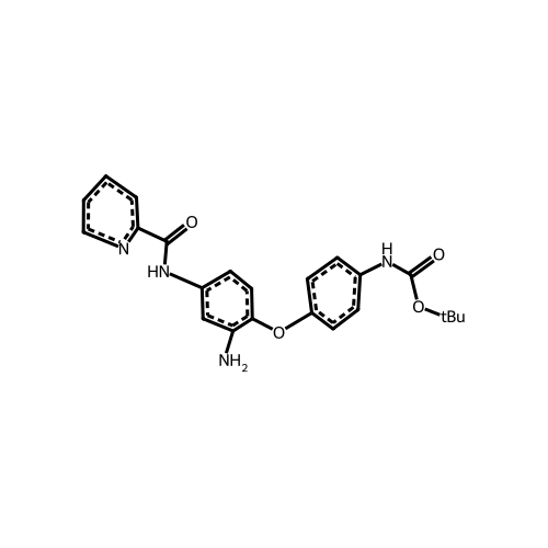 CC(C)(C)OC(=O)Nc1ccc(Oc2ccc(NC(=O)c3ccccn3)cc2N)cc1